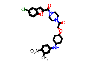 O=C(COC1CCC(Nc2ccc([N+](=O)[O-])c(C(F)(F)F)c2)CC1)N1CCN(C(=O)c2cc3cc(Cl)ccc3o2)CC1